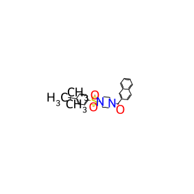 CC(C)(C)c1ccc(S(=O)(=O)N2CCN(C(=O)c3ccc4ccccc4c3)CC2)cc1